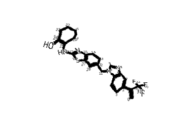 C=C(c1ccc2c(c1)ncn2Cc1ccc2nc(NC3CCCCC3O)sc2c1)C(F)(F)F